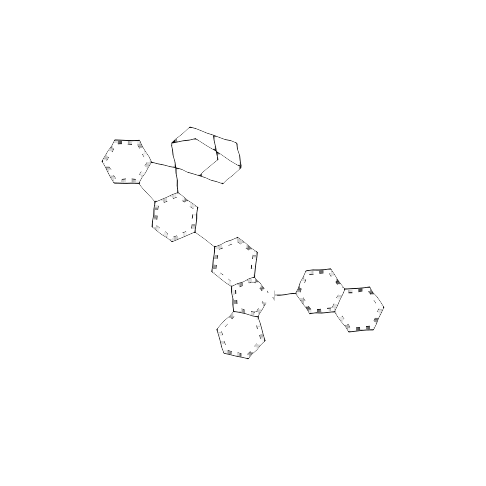 c1ccc2c(c1)-c1ccc(-c3ccc4c(c3)c3ccccc3n4-c3ccc4ccccc4c3)cc1C21C2CC3CC(C2)CC1C3